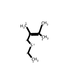 C[CH]SCC(C)=C(C)C